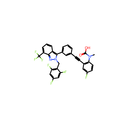 CN(C(=O)O)c1ccc(F)cc1C#Cc1cccc(-c2c3cccc(C(F)(F)F)c3nn2Cc2c(F)cc(F)cc2F)c1